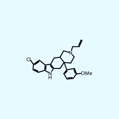 C=CCN1CCC2(c3cccc(OC)c3)Cc3[nH]c4ccc(Cl)cc4c3CC2C1